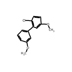 COc1cccc(-c2cc(OC)ccc2Cl)c1